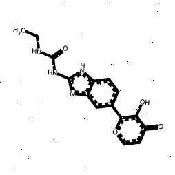 CCNC(=O)Nc1nc2cc(-c3occc(=O)c3O)ccc2[nH]1